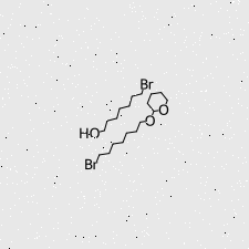 BrCCCCCCCOC1CCCCO1.OCCCCCCCBr